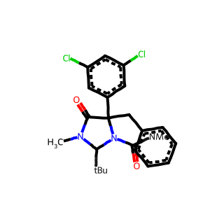 CNC(=O)N1C(C(C)(C)C)N(C)C(=O)C1(Cc1ccccc1)c1cc(Cl)cc(Cl)c1